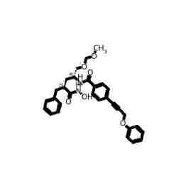 COCOC[C@@H](C[C@H](Cc1ccccc1)C(=O)NO)NC(=O)c1ccc(C#CCOc2ccccc2)cc1